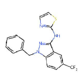 FC(F)(F)c1ccc2c(c1)c(Nc1nccs1)nn2Cc1ccccc1